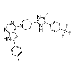 Cc1ccc(-c2cc3c(N4CCC(c5nc(C)c(-c6ccc(C(F)(F)F)cc6)[nH]5)CC4)ncnc3[nH]2)cc1